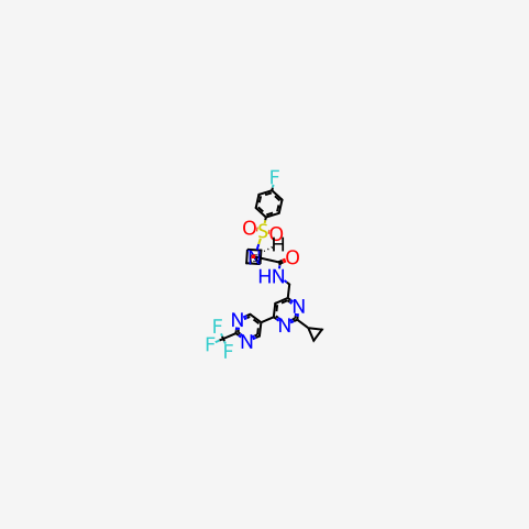 O=C(NCc1cc(-c2cnc(C(F)(F)F)nc2)nc(C2CC2)n1)[C@@H]1C2CC(C2)N1S(=O)(=O)c1ccc(F)cc1